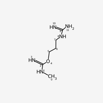 CNC(=N)OCCCNC(=N)N